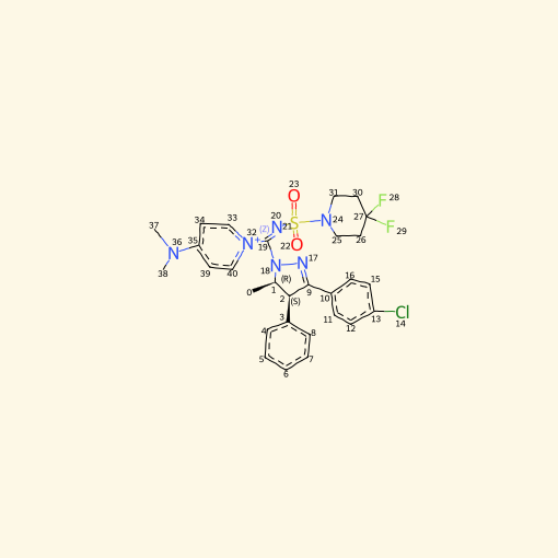 C[C@@H]1[C@H](c2ccccc2)C(c2ccc(Cl)cc2)=NN1/C(=N\S(=O)(=O)N1CCC(F)(F)CC1)[n+]1ccc(N(C)C)cc1